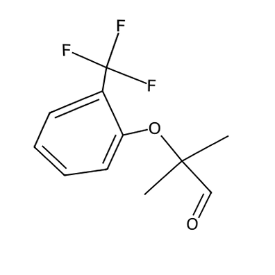 CC(C)(C=O)Oc1ccccc1C(F)(F)F